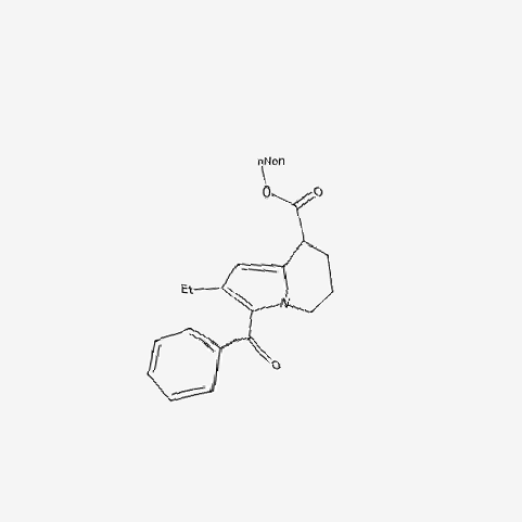 CCCCCCCCCOC(=O)C1CCCn2c1cc(CC)c2C(=O)c1ccccc1